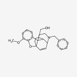 COc1cccc2c1OC13C=CC4C(C(CO)CC1)C23CCN4Cc1ccccc1